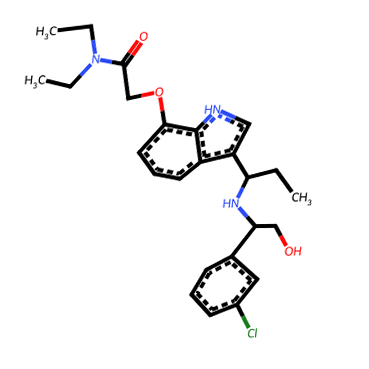 CCC(NC(CO)c1cccc(Cl)c1)c1c[nH]c2c(OCC(=O)N(CC)CC)cccc12